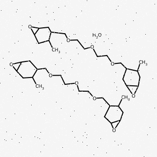 CC1CC2OC2CC1COCCOCCOCC1CC2OC2CC1C.CC1CC2OC2CC1COCCOCCOCC1CC2OC2CC1C.O